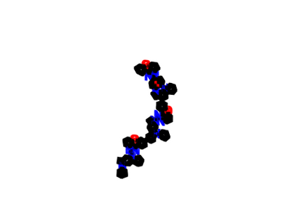 c1ccc(-n2ccc3cc4c(cc32)c2ccccc2n4-c2nc3c4c(cccc4n2)Oc2cc(-c4ccc5c(c4)c4cc6ccn(-c7nc8c9c(cccc9n7)Oc7cc(-c9cc%10c%11ccccc%11n(-c%11ccccc%11)c%10c%10c9ccn%10-c9ccc(-c%10nc%11c%12c(cccc%12n%10)Oc%10ccccc%10-%11)cc9)ccc7-8)c6cc4n5-c4ccccc4)ccc2-3)cc1